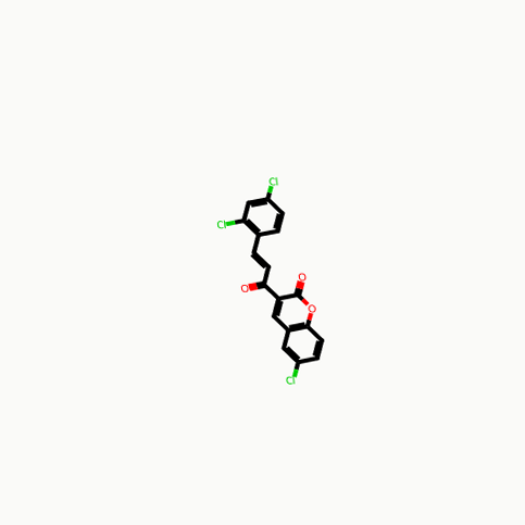 O=C(C=Cc1ccc(Cl)cc1Cl)c1cc2cc(Cl)ccc2oc1=O